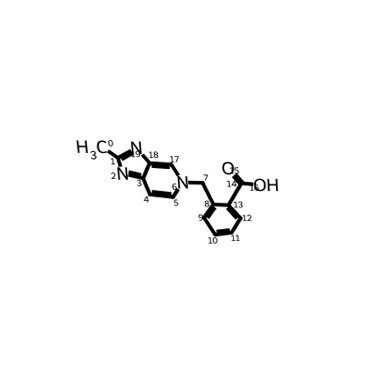 Cc1nc2ccn(Cc3ccccc3C(=O)O)cc-2n1